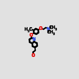 Cc1cc(OCCN(C)C)ccc1Oc1ccc2cc(CC=O)ccc2n1